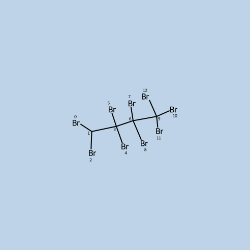 BrC(Br)C(Br)(Br)C(Br)(Br)C(Br)(Br)Br